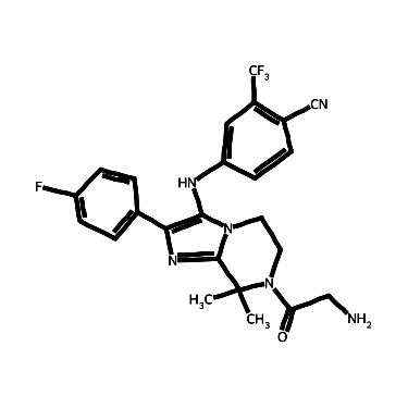 CC1(C)c2nc(-c3ccc(F)cc3)c(Nc3ccc(C#N)c(C(F)(F)F)c3)n2CCN1C(=O)CN